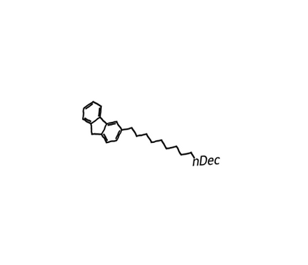 CCCCCCCCCCCCCCCCCCCc1ccc2c(c1)-c1ccccc1C2